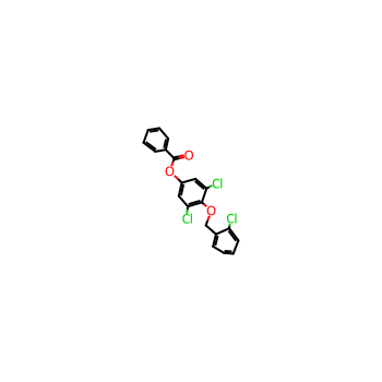 O=C(Oc1cc(Cl)c(OCc2ccccc2Cl)c(Cl)c1)c1ccccc1